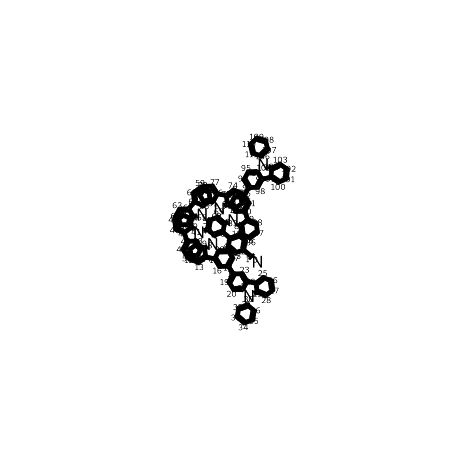 N#Cc1ccc(-c2c(-n3c4ccccc4c4cc(-c5ccc6c(c5)c5ccccc5n6-c5ccccc5)ccc43)c(-n3c4ccccc4c4ccccc43)c(-n3c4ccccc4c4ccccc43)c(-n3c4ccccc4c4ccccc43)c2-n2c3ccccc3c3cc(-c4ccc5c(c4)c4ccccc4n5-c4ccccc4)ccc32)cc1